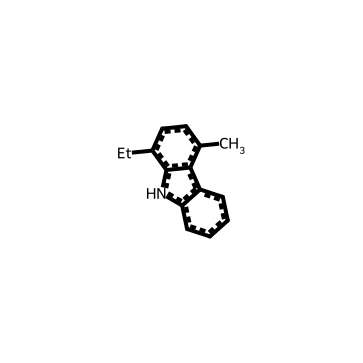 CCc1ccc(C)c2c1[nH]c1ccccc12